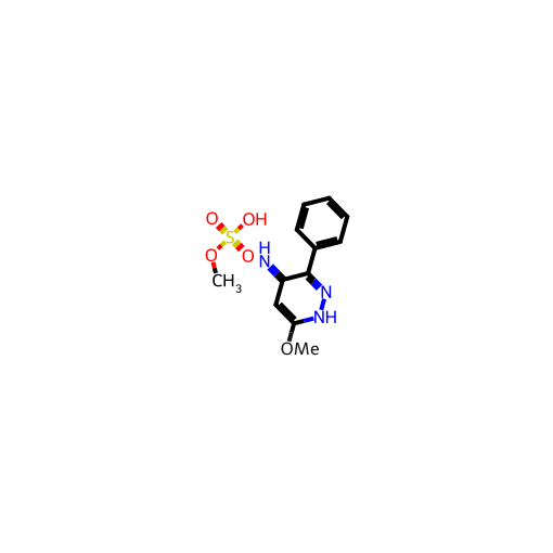 COS(=O)(=O)O.COc1cc(=N)c(-c2ccccc2)n[nH]1